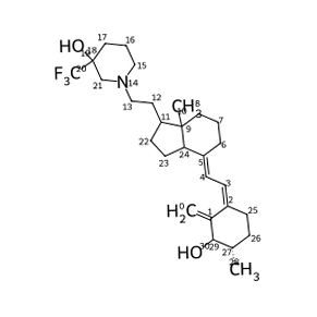 C=C1/C(=C\C=C2/CCCC3(C)C(CCN4CCCC(O)(C(F)(F)F)C4)CCC23)CC[C@H](C)C1O